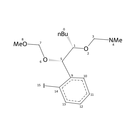 CCCC[C@H](OCNC)[C@@H](OCOC)c1ccccc1I